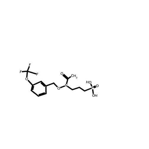 CC(=O)N(CCCP(=O)(O)O)OCc1cccc(OC(F)(F)F)c1